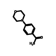 BC(=O)c1ccc(N2CCOCC2)cc1